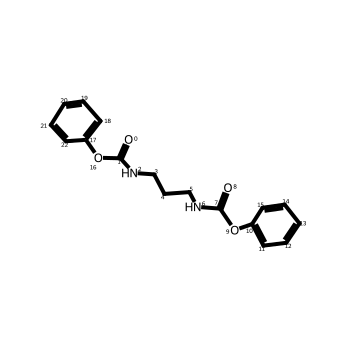 O=C(NCCCNC(=O)Oc1ccccc1)Oc1ccccc1